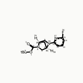 CC(C)(C)OC(=O)N1C[C@H]2C[C@@H]1CN2c1cccc(F)n1